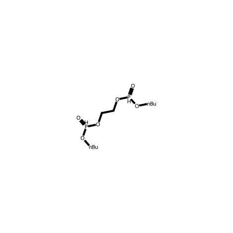 CCCCO[PH](=O)OCCO[PH](=O)OCCCC